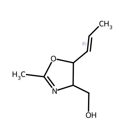 C/C=C/C1OC(C)=NC1CO